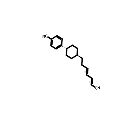 N#C/C=C/C=C/CC[C@H]1CC[C@H](c2ccc(C#N)cc2)CC1